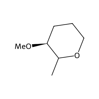 CO[C@H]1CCCOC1C